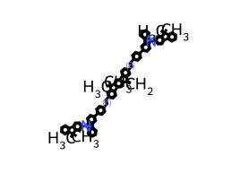 C=C1c2cc(/C=C/c3ccc(-c4ccc5c(c4)c4ccccc4n5-c4ccc5c(c4)C(C)(C)c4ccccc4-5)cc3)ccc2-c2cc3c(cc21)-c1ccc(/C=C/c2ccc(-c4ccc5c(c4)c4ccccc4n5-c4ccc5c(c4)C(C)(C)c4ccccc4-5)cc2)cc1C3(C)C